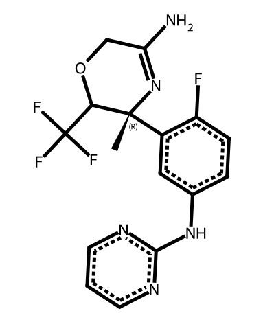 C[C@]1(c2cc(Nc3ncccn3)ccc2F)N=C(N)COC1C(F)(F)F